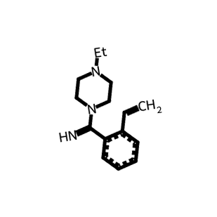 C=Cc1ccccc1C(=N)N1CCN(CC)CC1